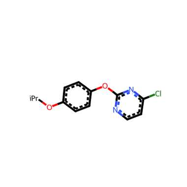 CC(C)Oc1ccc(Oc2nccc(Cl)n2)cc1